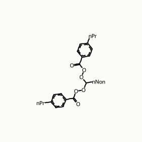 [CH2]CCCCCCCC[C](OOC(=O)c1ccc(CCC)cc1)OOC(=O)c1ccc(CCC)cc1